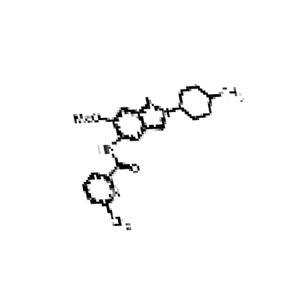 COc1cc2nn(C3CCC(C)CC3)cc2cc1NC(=O)c1cccc(C(F)(F)F)n1